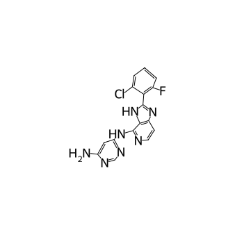 Nc1cc(Nc2nccc3nc(-c4c(F)cccc4Cl)[nH]c23)ncn1